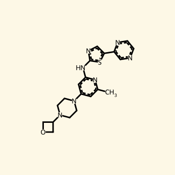 Cc1cc(N2CCN(C3COC3)CC2)cc(Nc2ncc(-c3cnccn3)s2)n1